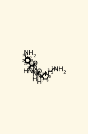 NCCCN1CCC[C@@H](NC(=O)Nc2nc(=O)c(-c3ccc(CN)cc3)c[nH]2)C1